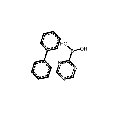 OB(O)c1ncncn1.c1ccc(-c2ccccc2)cc1